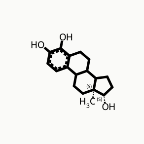 C[C@]12CCC3c4ccc(O)c(O)c4CCC3C1CC[C@@H]2O